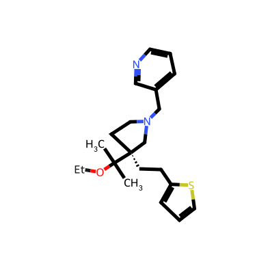 CCOC(C)(C)[C@@]1(CCc2cccs2)CCN(Cc2cccnc2)C1